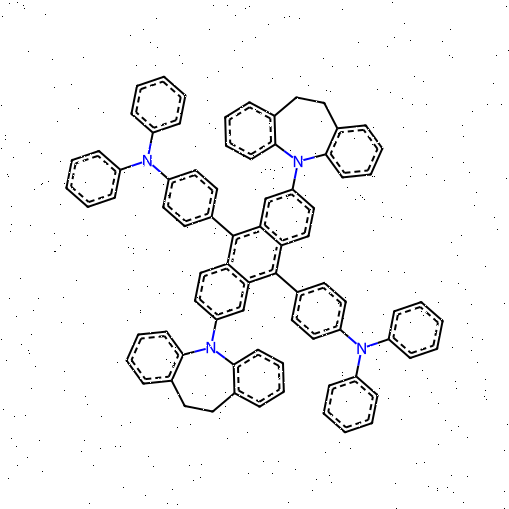 c1ccc(N(c2ccccc2)c2ccc(-c3c4ccc(N5c6ccccc6CCc6ccccc65)cc4c(-c4ccc(N(c5ccccc5)c5ccccc5)cc4)c4ccc(N5c6ccccc6CCc6ccccc65)cc34)cc2)cc1